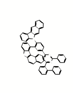 c1ccc(-c2nc(-c3ccc(-n4c5ccccc5c5cc6ccccc6cc54)c(-c4cccc5sc6ccc7ccccc7c6c45)c3)nc(-c3ccccc3-c3ccccc3)n2)cc1